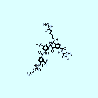 CCOC(=O)NCc1ccc(C(=O)Nc2cc(NC(=O)c3cc(C(=O)NC(C)C)ccc3C(=O)NCCCCC(=O)NO)nc(C)n2)cc1C(F)(F)F